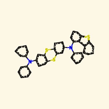 c1ccc(N(c2ccccc2)c2ccc3c(c2)Sc2ccc(N(c4ccccc4)c4cccc5sc6ccccc6c45)cc2S3)cc1